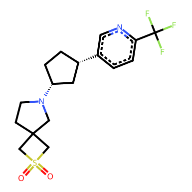 O=S1(=O)CC2(CCN([C@@H]3CC[C@H](c4ccc(C(F)(F)F)nc4)C3)C2)C1